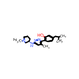 Cc1cc(N[C@@H]2CCCN(C)C2)nnc1-c1ccc(CC(C)C)cc1O